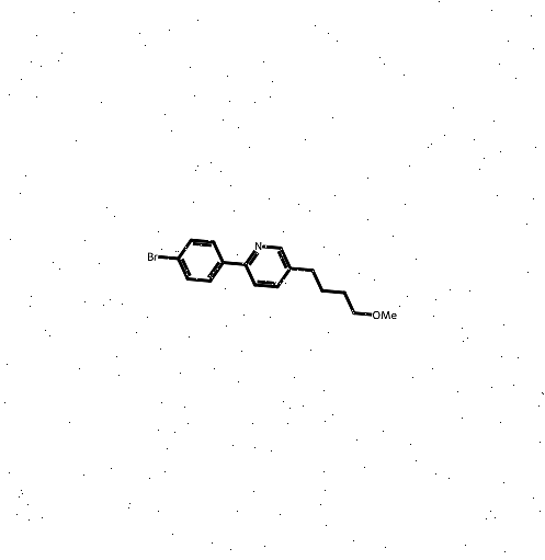 COCCCCc1ccc(-c2ccc(Br)cc2)nc1